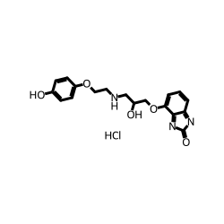 Cl.O=C1N=c2cccc(OCC(O)CNCCOc3ccc(O)cc3)c2=N1